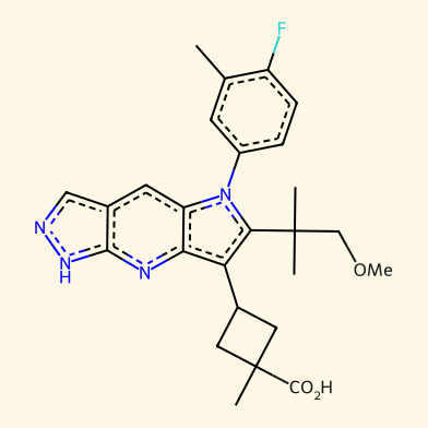 COCC(C)(C)c1c(C2CC(C)(C(=O)O)C2)c2nc3[nH]ncc3cc2n1-c1ccc(F)c(C)c1